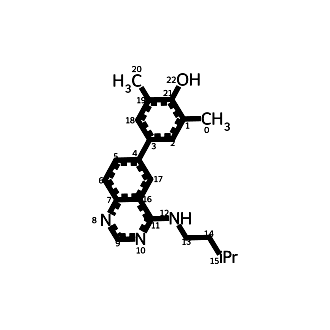 Cc1cc(-c2ccc3ncnc(NCCC(C)C)c3c2)cc(C)c1O